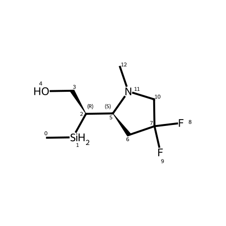 C[SiH2][C@@H](CO)[C@@H]1CC(F)(F)CN1C